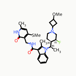 COC1CC(N2CC[C@H]([C@@H](C)n3c(C)c(C(=O)NCc4c(SC)cc(C)[nH]c4=O)c4ccccc43)[C@H](F)C2)C1